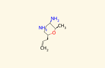 C=CC[C@H]1CC[C@@H](N)[C@@H](C)O1.N